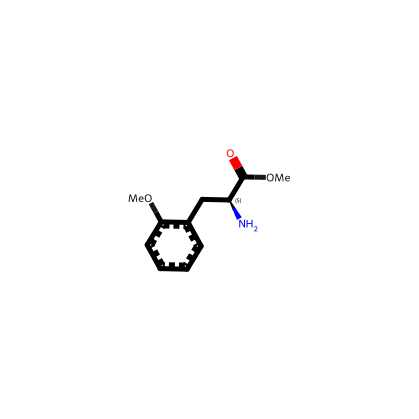 COC(=O)[C@@H](N)Cc1ccccc1OC